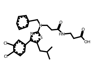 CC(C)Cc1sc(N(CCC(=O)NCCC(=O)O)Cc2ccccc2)nc1-c1ccc(Cl)c(Cl)c1